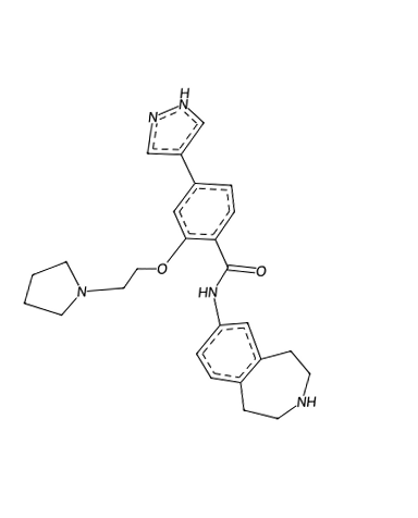 O=C(Nc1ccc2c(c1)CCNCC2)c1ccc(-c2cn[nH]c2)cc1OCCN1CCCC1